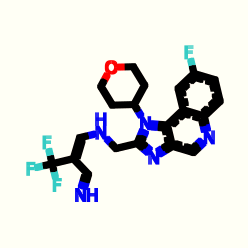 N=C/C(=C\NCc1nc2cnc3ccc(F)cc3c2n1C1CCOCC1)C(F)(F)F